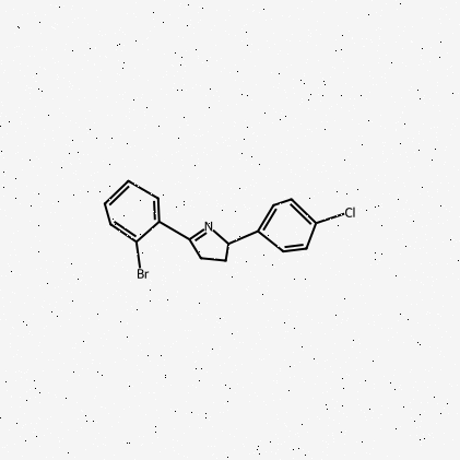 Clc1ccc(C2CCC(c3ccccc3Br)=N2)cc1